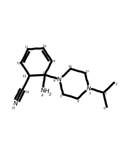 CC(C)N1CCN(C2(N)C=CC=CC2C#N)CC1